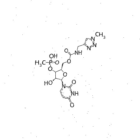 Cn1cc(CNC(=O)OC[C@H]2O[C@@H](n3ccc(=O)[nH]c3=O)[C@@H](O)C2OP(C)(=O)O)nn1